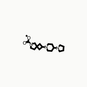 COC(=O)N1CCC2(CC(N3CCC(N4CCCC4)CC3)C2)C1